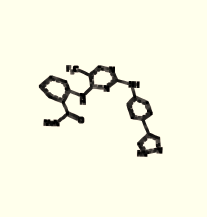 CNC(=O)c1ccccc1Nc1nc(Nc2ccc(-c3cn[nH]c3)cc2)ncc1C(F)(F)F